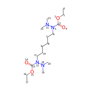 CCOC(=O)N(CCCCCCN(C(=O)OCC)N(C)C)N(C)C